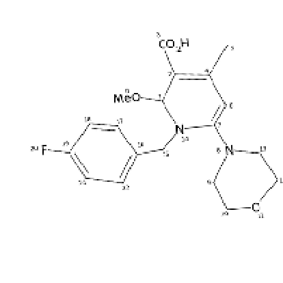 COC1C(C(=O)O)=C(C)C=C(N2CCOCC2)N1Cc1ccc(F)cc1